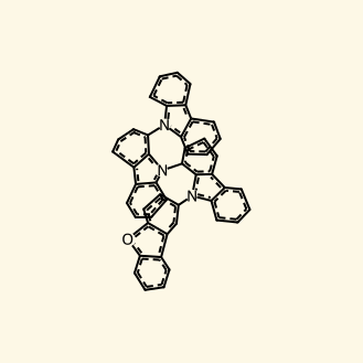 c1ccc2c(c1)oc1ccc(-n3c4ccccc4c4cccc(-n5c6ccccc6c6cccc(-n7c8ccccc8c8ccccc87)c65)c43)cc12